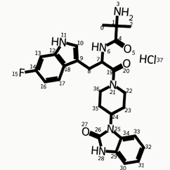 CC(C)(N)C(=O)NC(Cc1c[nH]c2cc(F)ccc12)C(=O)N1CCC(n2c(=O)[nH]c3ccccc32)CC1.Cl